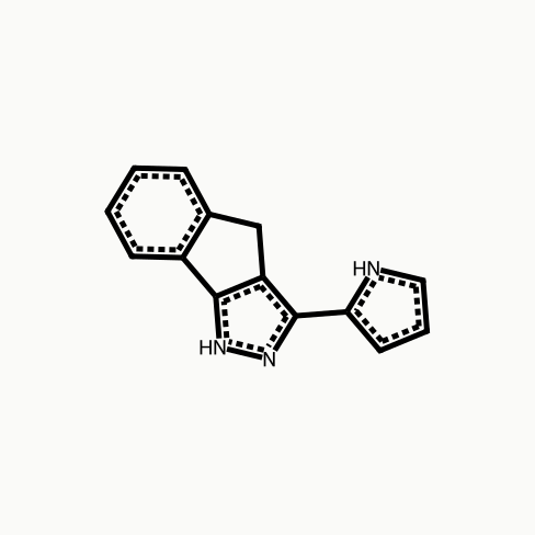 c1c[nH]c(-c2n[nH]c3c2Cc2ccccc2-3)c1